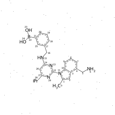 Cc1cc2c(CN)cccc2n1-c1nc(NCc2cccc(B(O)O)c2)cc(C(C)C)n1